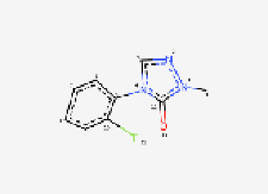 Cn1ncn(-c2ccccc2F)c1=O